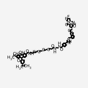 CN(C)c1ccc2c(c1)OC1=CC(=[N+](C)C)C=CC1C2c1ccc(C(=O)NCCOCCOCCOCCOCCC(=O)NCCNC(=O)c2ccc(-c3cn(Cc4cccc5c4CN(C(=O)C[C@@H]4C[C@@H](C(=O)N6CC(F)(F)C[C@H]6C#N)NC4=O)C5)nn3)cc2)cc1C(=O)O